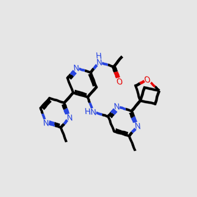 CC(=O)Nc1cc(Nc2cc(C)nc(C34COC(C3)C4)n2)c(-c2ccnc(C)n2)cn1